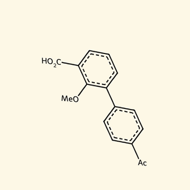 COc1c(C(=O)O)cccc1-c1ccc(C(C)=O)cc1